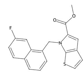 COC(=O)c1cc2ccsc2n1Cc1cccc2ccc(F)cc12